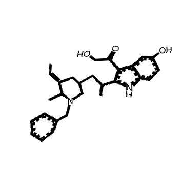 C/C=C1\CC(CC(C)c2[nH]c3ccc(O)cc3c2C(=O)CO)CN(Cc2ccccc2)C1C